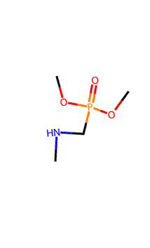 CNCP(=O)(OC)OC